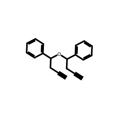 C#CCC(OC(CC#C)c1ccccc1)c1ccccc1